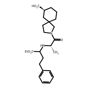 CCOC(=O)C(CCc1ccccc1)N[C@@H](C)C(=O)N1CCC2(CCC[C@H](C(=O)O)C2)C1